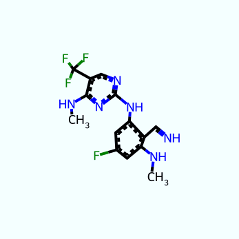 CNc1cc(F)cc(Nc2ncc(C(F)(F)F)c(NC)n2)c1C=N